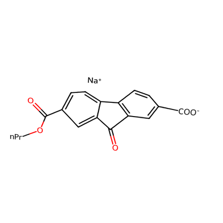 CCCOC(=O)c1ccc2c(c1)C(=O)c1cc(C(=O)[O-])ccc1-2.[Na+]